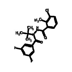 Cc1c(Cl)cccc1C(=O)NN(C(=O)c1cc(F)cc(F)c1)C(C)(C)C